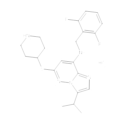 CC(C)c1cnc2c(NCc3c(F)cccc3F)cc(SC3CCNCC3)nn12.Cl